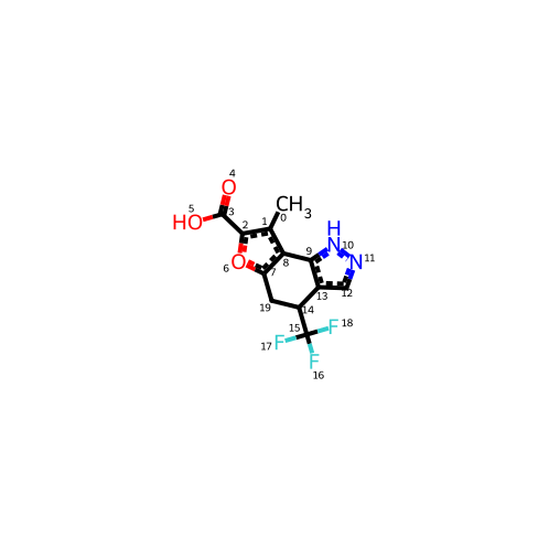 Cc1c(C(=O)O)oc2c1-c1[nH]ncc1C(C(F)(F)F)C2